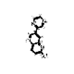 Clc1ccc2ncc(-c3cnccn3)cc2n1